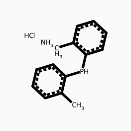 Cc1ccccc1Pc1ccccc1C.Cl.N